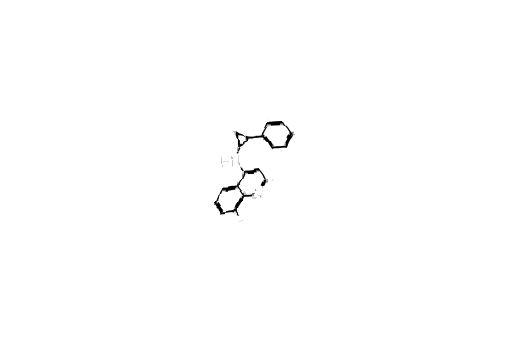 Fc1cccc2c(NC3CC3c3ccccc3)ccnc12